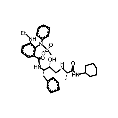 CCNc1cccc(C(=O)N[C@@H](Cc2ccccc2)[C@H](O)CN[C@@H](C)C(=O)NC2CCCCC2)c1N(c1ccccc1)S(C)(=O)=O